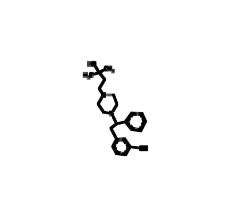 CC(C)(O)CCN1CCN(C(Cc2cccc(O)c2)c2ccccc2)CC1